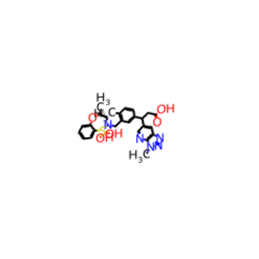 Cc1ccc(C(CC(=O)O)c2cnc3c(c2)nnn3C)cc1CN1C[C@@H](C)Oc2ccccc2S1(O)O